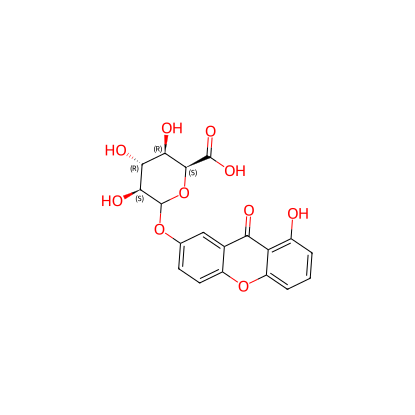 O=C(O)[C@H]1OC(Oc2ccc3oc4cccc(O)c4c(=O)c3c2)[C@@H](O)[C@H](O)[C@H]1O